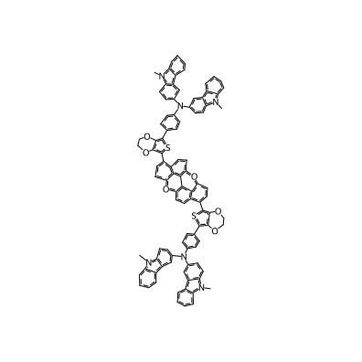 Cn1c2ccccc2c2cc(N(c3ccc(-c4sc(-c5ccc6oc7ccc8c(-c9sc(-c%10ccc(N(c%11ccc%12c(c%11)c%11ccccc%11n%12C)c%11ccc%12c(c%11)c%11ccccc%11n%12C)cc%10)c%10c9OCCO%10)ccc9oc%10ccc5c6c%10-c7c98)c5c4OCCO5)cc3)c3ccc4c(c3)c3ccccc3n4C)ccc21